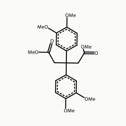 COC(=O)CC(CC(=O)OC)(c1ccc(OC)c(OC)c1)c1ccc(OC)c(OC)c1